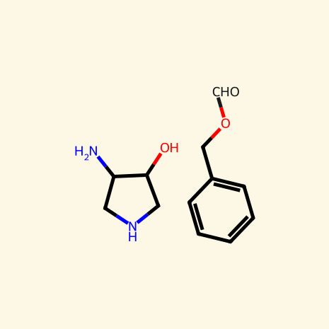 NC1CNCC1O.O=COCc1ccccc1